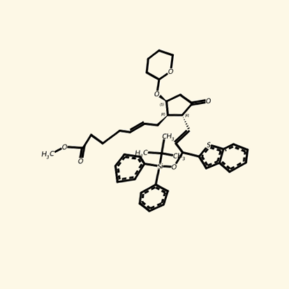 COC(=O)CCCC=CC[C@H]1[C@@H](OC2CCCCO2)CC(=O)[C@@H]1C=CC(O[Si](c1ccccc1)(c1ccccc1)C(C)(C)C)c1cc2ccccc2s1